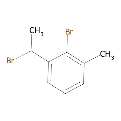 Cc1cccc(C(C)Br)c1Br